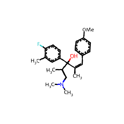 COc1ccc(C=C(C)C(O)(c2ccc(F)c(C)c2)C(C)CN(C)C)cc1